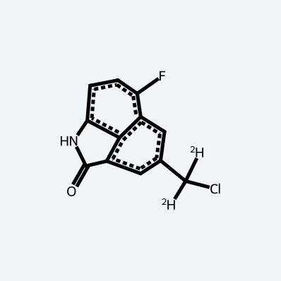 [2H]C([2H])(Cl)c1cc2c3c(ccc(F)c3c1)NC2=O